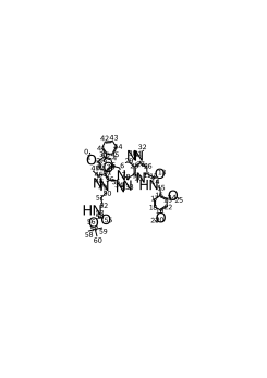 COc1ccc(Cn2c(-c3nc(C(=O)NCc4ccc(OC)cc4OC)cc4c3cnn4C)nnc2-c2c(OCc3ccccc3)c(C)nn2CCCNC(=O)OC(C)(C)C)cc1